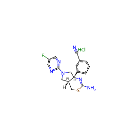 Cl.N#Cc1cccc([C@]23CN(c4ncc(F)cn4)C[C@H]2CSC(N)=N3)c1